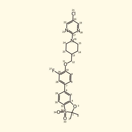 CC1(C)Oc2cc(-c3ccc(OCC4CCN(c5ncc(Cl)cn5)CC4)c(F)c3)ccc2S1(=O)=O